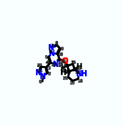 Cn1cc(-c2cn3nccc3c(O[C@]3(C)C[C@H]4NCCC[C@H]43)n2)cn1